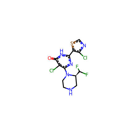 O=c1[nH]c(-c2scnc2Cl)nc(N2CCNC[C@@H]2C(F)F)c1Cl